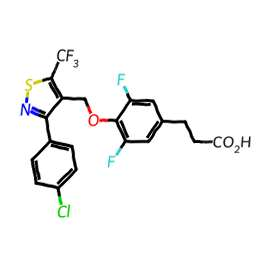 O=C(O)CCc1cc(F)c(OCc2c(-c3ccc(Cl)cc3)nsc2C(F)(F)F)c(F)c1